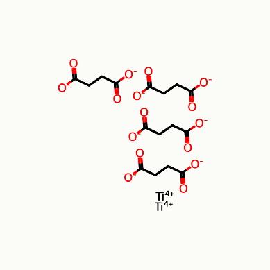 O=C([O-])CCC(=O)[O-].O=C([O-])CCC(=O)[O-].O=C([O-])CCC(=O)[O-].O=C([O-])CCC(=O)[O-].[Ti+4].[Ti+4]